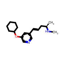 CN[C@H](C)CC=Cc1cncc(OC2CCCCC2)c1